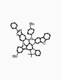 CC(C)(C)c1ccc(N2B3c4cc5nc(-c6ccccc6)sc5cc4-n4c5ccc(C(C)(C)C)cc5c5c6c(c(c3c54)-c3cc4oc5ccccc5c4cc32)-c2ccccc2C6(C)C)cc1